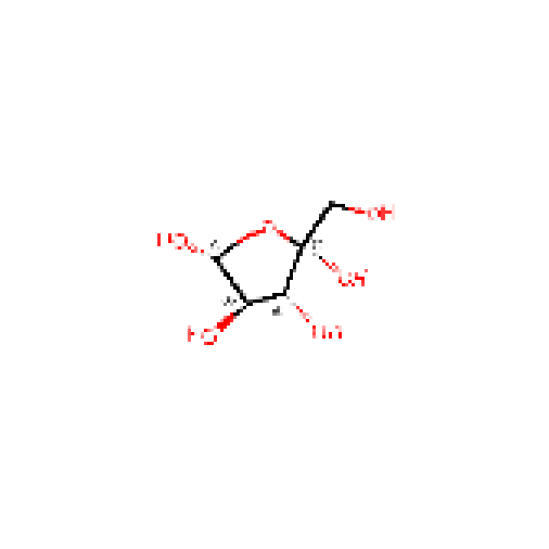 OC[C@]1(O)O[C@@H](O)[C@H](O)[C@H]1O